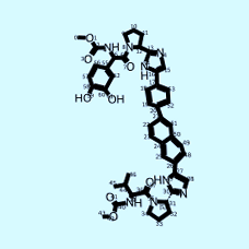 COC(=O)NC(C(=O)N1CCCC1c1ncc(-c2ccc(-c3ccc4cc(-c5cnc([C@@H]6CCCN6C(=O)C(NC(=O)OC)C(C)C)[nH]5)ccc4c3)cc2)[nH]1)c1ccc(O)c(O)c1